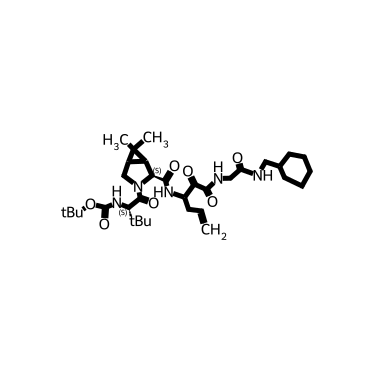 C=CCC(NC(=O)[C@@H]1C2C(CN1C(=O)[C@@H](NC(=O)OC(C)(C)C)C(C)(C)C)C2(C)C)C(=O)C(=O)NCC(=O)NCC1CCCCC1